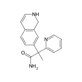 CC(C(N)=O)(c1ccc2c(c1)CNC=C2)c1ccccn1